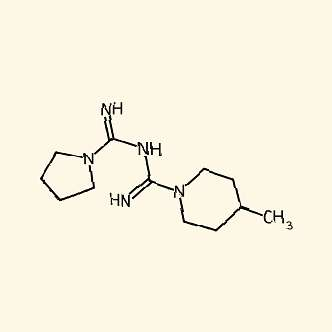 CC1CCN(C(=N)NC(=N)N2CCCC2)CC1